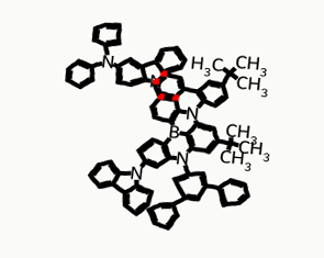 CC(C)(C)c1ccc(N2c3cc(-n4c5ccccc5c5cc(N(c6ccccc6)c6ccccc6)ccc54)ccc3B3c4ccc(-n5c6ccccc6c6ccccc65)cc4N(c4cc(-c5ccccc5)cc(-c5ccccc5)c4)c4cc(C(C)(C)C)cc2c43)c(-c2ccccc2)c1